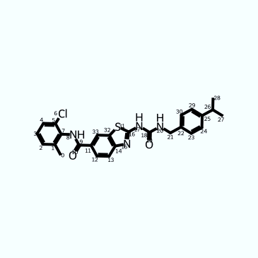 Cc1cccc(Cl)c1NC(=O)c1ccc2nc(NC(=O)NCc3ccc(C(C)C)cc3)sc2c1